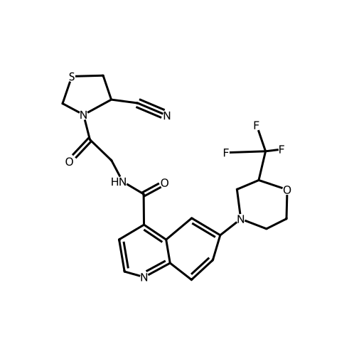 N#CC1CSCN1C(=O)CNC(=O)c1ccnc2ccc(N3CCOC(C(F)(F)F)C3)cc12